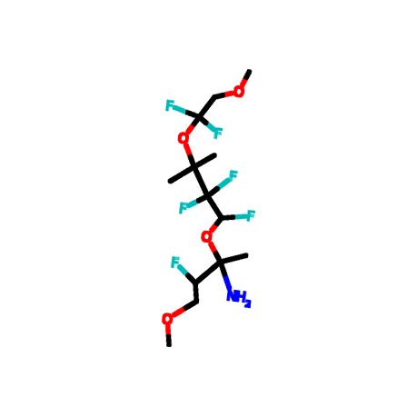 COCC(F)C(C)(N)OC(F)C(F)(F)C(C)(C)OC(F)(F)COC